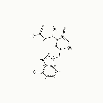 CC(=O)SC(C)C(OC(C)Cn1cnc2c(N)ncnc21)P(=O)=O